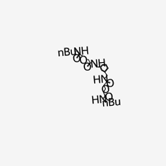 CCCCNC(=O)COCC(=O)NCc1cccc(CNC(=O)COCC(=O)NCCCC)c1